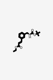 CCOC(=O)/C=C/c1cccc(CNC(=O)OC(C)(C)C)c1